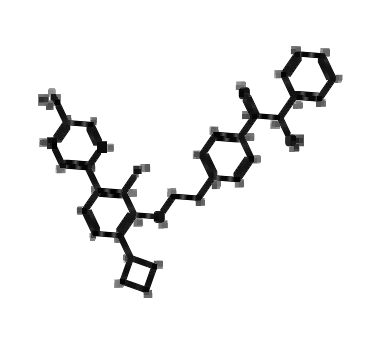 Nc1cnc(-c2ccc(C3CCC3)c(OCCc3ccc(C(=O)C(O)c4ccccc4)cc3)c2F)cn1